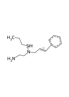 CCC[SiH]N(C/C=C/c1ccccc1)CCN